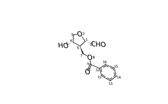 O=C[C@H]1OC[C@@H](O)[C@@H]1COC(=O)c1ccccc1